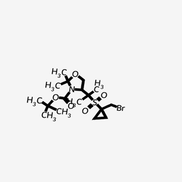 CC(C)(C)OC(=O)N1C(C(C)(C)S(=O)(=O)C2(CBr)CC2)COC1(C)C